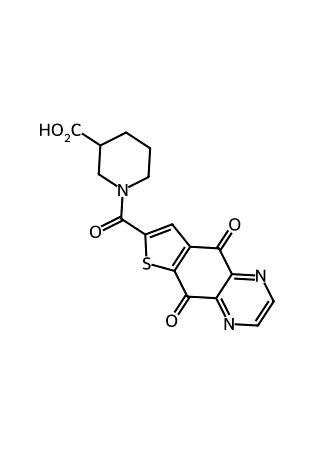 O=C1c2cc(C(=O)N3CCCC(C(=O)O)C3)sc2C(=O)c2nccnc21